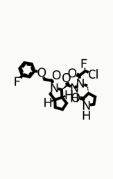 O=C1NCC[C@H]1CN(NC(=O)[C@H]1[C@@H]2CCC[C@@H]2CN1C(=O)COc1cccc(F)c1)C(=O)[C@H](F)Cl